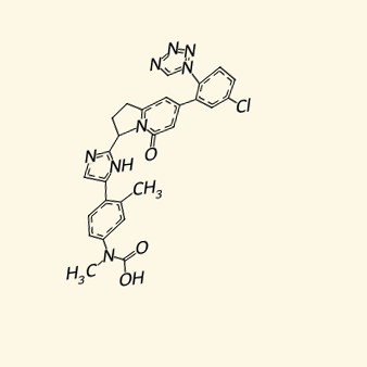 Cc1cc(N(C)C(=O)O)ccc1-c1cnc(C2CCc3cc(-c4cc(Cl)ccc4-n4cnnn4)cc(=O)n32)[nH]1